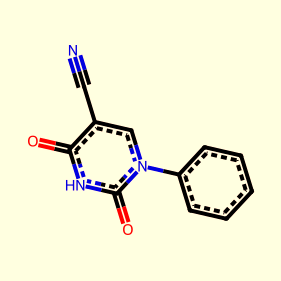 N#Cc1cn(-c2ccccc2)c(=O)[nH]c1=O